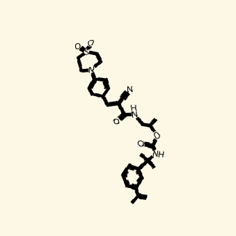 C=C(C)c1cccc(C(C)(C)NC(=O)OC(C)CNC(=O)/C(C#N)=C/C2C=CC(N3CCS(=O)(=O)CC3)=CC2)c1